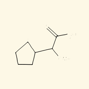 COC(C(=O)C(C)(C)C)C1CCCC1